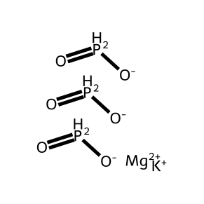 O=[PH2][O-].O=[PH2][O-].O=[PH2][O-].[K+].[Mg+2]